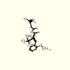 COc1ccccc1CC(C(=O)OC(=O)CC(C)=O)C(C)(C)C